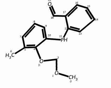 COCOc1c(C)cccc1Pc1ccccc1C=O